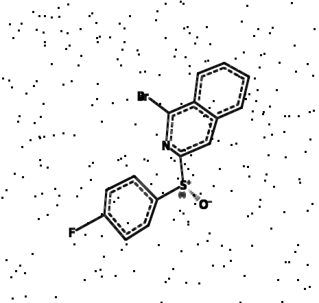 [O-][S@+](c1ccc(F)cc1)c1cc2ccccc2c(Br)n1